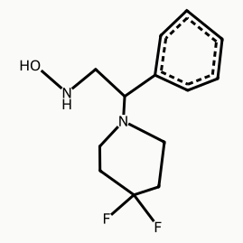 ONCC(c1ccccc1)N1CCC(F)(F)CC1